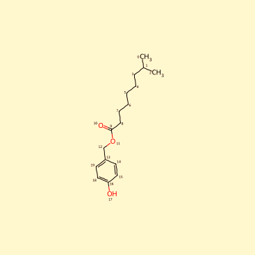 CC(C)CCCCCCC(=O)OCc1ccc(O)cc1